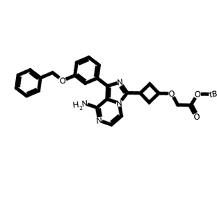 CC(C)(C)OC(=O)COC1CC(c2nc(-c3cccc(OCc4ccccc4)c3)c3c(N)nccn23)C1